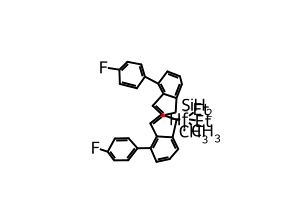 C[CH2][Hf]([CH3])([CH3])(=[SiH2])([CH2]C)([CH]1C=Cc2c(-c3ccc(F)cc3)cccc21)[CH]1C=Cc2c(-c3ccc(F)cc3)cccc21